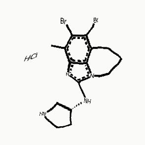 Cc1c(Br)c(Br)c2c3c1nc(N[C@@H]1CCNC1)n3CCC2.Cl